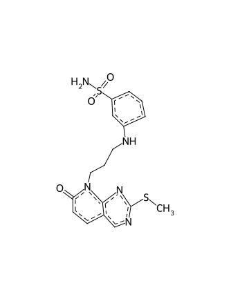 CSc1ncc2ccc(=O)n(CCCNc3cccc(S(N)(=O)=O)c3)c2n1